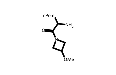 CCCCCC(N)C(=O)N1CC(OC)C1